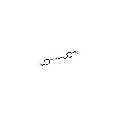 O=Cc1ccc(CCCCCOc2ccc(C=O)cc2)cc1